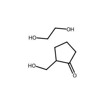 O=C1CCCC1CO.OCCO